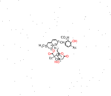 CC(=O)c1cccc(C(=O)O)c1O.CCC(C)(C)C(=O)O[C@H]1C[C@@H](C)C=C2C=C[C@H](C)[C@H](CC[C@@H]3C[C@@H](O)CC(=O)O3)[C@H]21